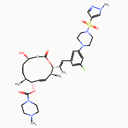 C/C(=C\c1cc(F)cc(N2CCN(S(=O)(=O)c3cnn(C)c3)CC2)c1)[C@H]1OC(=O)C[C@H](O)CC[C@H](C)[C@@H](OC(=O)N2CCN(C)CC2)/C=C/[C@@H]1C